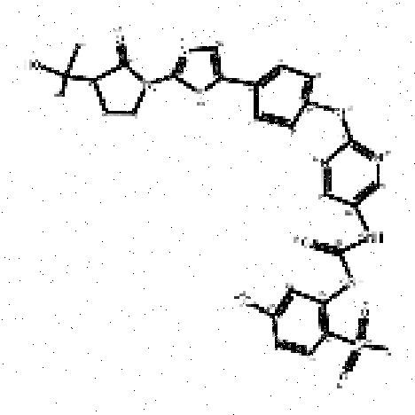 CC(C)(O)C1CCN(c2ncc(-c3ccc(Oc4ncc(NC(=O)Nc5cc(C(F)(F)F)ccc5S(C)(=O)=O)cn4)cc3)s2)C1=O